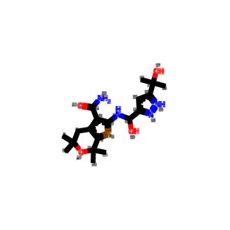 CC1(C)Cc2c(sc(NC(O)c3cc(C(C)(C)O)[nH]n3)c2C(N)=O)C(C)(C)O1